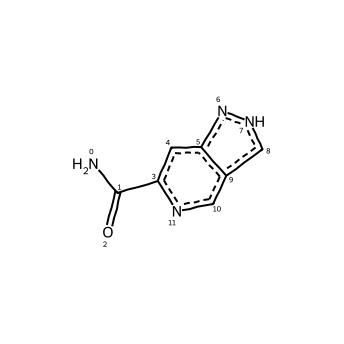 NC(=O)c1cc2n[nH]cc2cn1